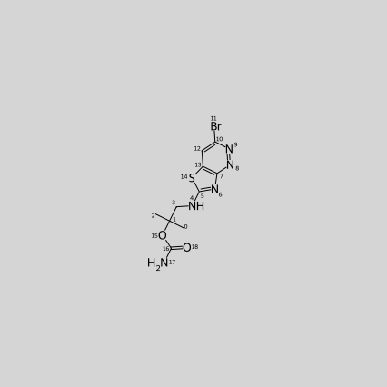 CC(C)(CNc1nc2nnc(Br)cc2s1)OC(N)=O